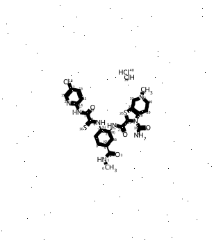 CNC(=O)[C@H]1CC[C@H](NC(=S)C(=O)Nc2ccc(Cl)cn2)[C@H](NC(=O)C2SC3=C(CCN(C)C3)N2C(N)=O)C1.Cl.Cl